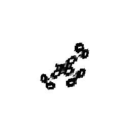 C=CC[Si](c1ccc(-n2c3ccccc3c3ccccc32)cc1)(c1ccc(-n2c3ccccc3c3ccccc32)cc1)c1ccc(-n2c3ccccc3c3ccccc32)cc1